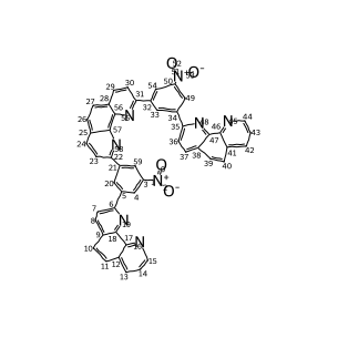 O=[N+]([O-])c1cc(-c2ccc3ccc4cccnc4c3n2)cc(-c2ccc3ccc4ccc(-c5cc(-c6ccc7ccc8cccnc8c7n6)cc([N+](=O)[O-])c5)nc4c3n2)c1